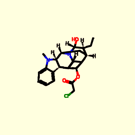 CC[C@H]1[C@@H]2C[C@H]3[C@@H]4N(C)c5ccccc5[C@]45C[C@@H](C2[C@H]5OC(=O)CCl)N3[C@@H]1O